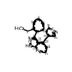 OCc1ccccc1-c1n[nH]c2nccc(-c3ccsc3)c12